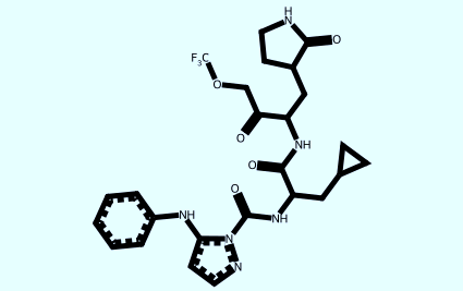 O=C1NCCC1CC(NC(=O)C(CC1CC1)NC(=O)n1nccc1Nc1ccccc1)C(=O)COC(F)(F)F